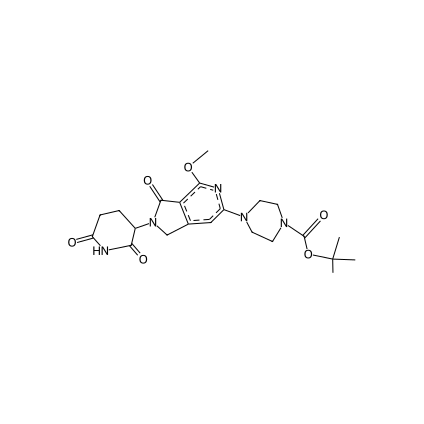 COc1nc(N2CCN(C(=O)OC(C)(C)C)CC2)cc2c1C(=O)N(C1CCC(=O)NC1=O)C2